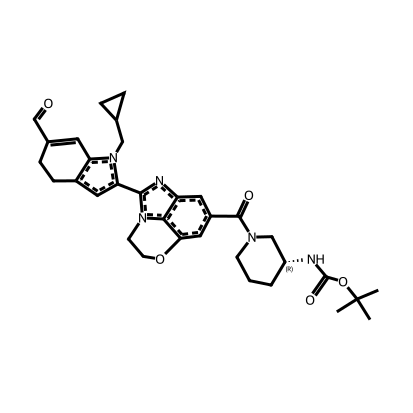 CC(C)(C)OC(=O)N[C@@H]1CCCN(C(=O)c2cc3c4c(c2)nc(-c2cc5c(n2CC2CC2)C=C(C=O)CC5)n4CCO3)C1